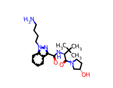 CC(C)(C)[C@H](NC(=O)c1nn(CCCCN)c2ccccc12)C(=O)N1CC[C@H](O)C1